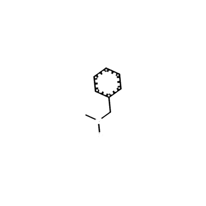 CC[Si](C)Cc1ccccc1